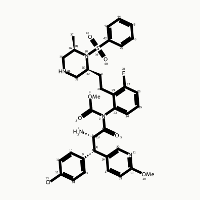 COC(=O)N(C(=O)[C@@H](N)[C@@H](c1ccc(Cl)cc1)c1ccc(OC)nc1)c1cccc(F)c1CC[C@H]1CNC[C@@H](C)N1S(=O)(=O)c1ccccc1